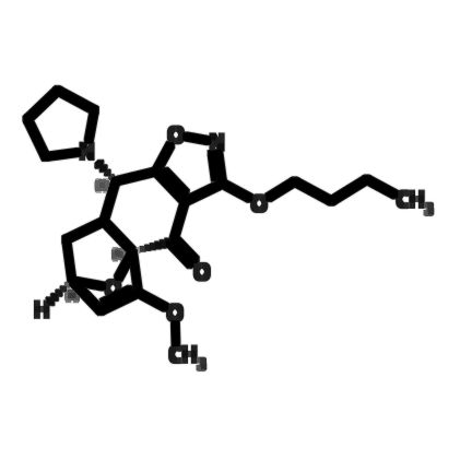 CCCCOc1noc2c1C(=O)[C@@]13O[C@@H](C=C1OC)CC3[C@@H]2N1CCCC1